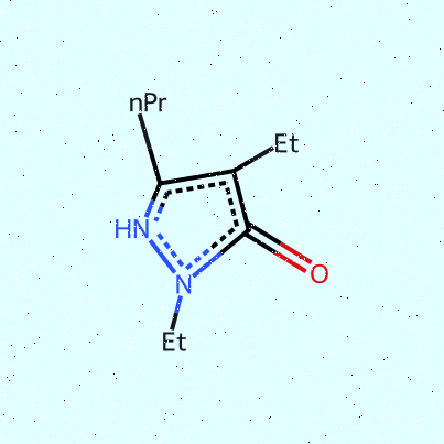 CCCc1[nH]n(CC)c(=O)c1CC